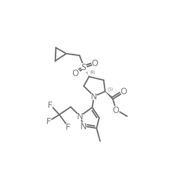 COC(=O)[C@@H]1C[C@@H](S(=O)(=O)CC2CC2)CN1c1cc(C)nn1CC(F)(F)F